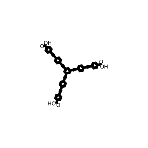 O=C(O)c1ccc(C#Cc2ccc(C#Cc3cc(C#Cc4ccc(C#Cc5ccc(C(=O)O)cc5)cc4)cc(C#Cc4ccc(C#Cc5ccc(C(=O)O)cc5)cc4)c3)cc2)cc1